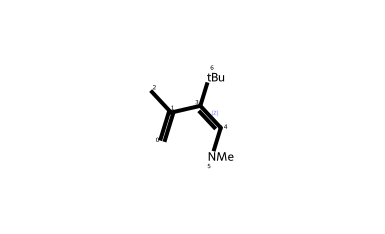 C=C(C)/C(=C\NC)C(C)(C)C